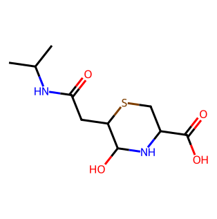 CC(C)NC(=O)CC1SCC(C(=O)O)NC1O